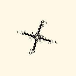 COC(=O)CCCCCC[Si]1(C)O[Si](C)(CCCCCCC(=O)OC)O[Si](C)(CCCCCCC(=O)OC)O[Si](C)(CCCCCCC(=O)OC)O1